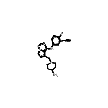 C#Cc1cc(Nc2ncnn3ccc(CN4CCC(N)CC4)c23)ccc1F